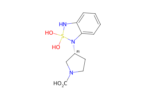 O=C(O)N1CC[C@@H](N2c3ccccc3NS2(O)O)C1